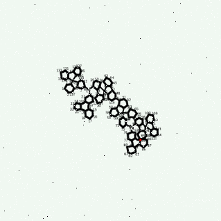 c1ccc(C2(c3ccc(N(c4ccc5c6ccccc6c6ccccc6c5c4)c4cccc5c4-c4ccccc4C54c5ccccc5-c5cc(-c6cccc7c6-c6ccccc6C7(c6ccccc6)c6cccc(N(c7ccc8c9ccccc9c9ccccc9c8c7)c7cccc8c7-c7ccccc7C87c8ccccc8-c8ccccc87)c6)ccc54)cc3)c3ccccc3-c3ccccc32)cc1